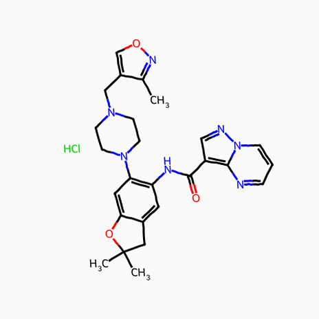 Cc1nocc1CN1CCN(c2cc3c(cc2NC(=O)c2cnn4cccnc24)CC(C)(C)O3)CC1.Cl